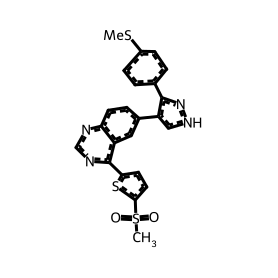 CSc1ccc(-c2n[nH]cc2-c2ccc3ncnc(-c4ccc(S(C)(=O)=O)s4)c3c2)cc1